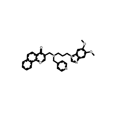 COc1cc2ncn(CCCN(Cc3ccncc3)Cc3coc4c(ccc5ccccc54)c3=O)c2cc1OC